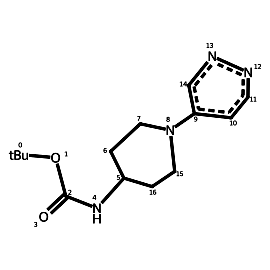 CC(C)(C)OC(=O)NC1CCN(c2ccnnc2)CC1